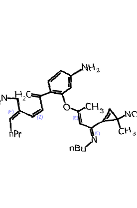 C=C(/C=C\C(=C/CCC)CN)c1ccc(N)cc1O/C(C)=C/C(=N\CCCC)C1=CC1(C)N=O